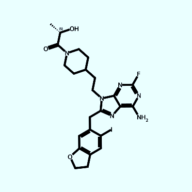 C[C@H](O)C(=O)N1CCC(CCn2c(Cc3cc4c(cc3I)CCO4)nc3c(N)nc(F)nc32)CC1